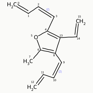 C=C/C=C\c1oc(C)c(/C=C\C=C)c1C=C